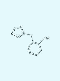 CC(C)(C)c1ccccc1Cn1cncn1